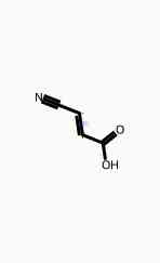 N#C/[C]=[C]/C(=O)O